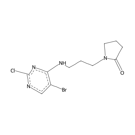 O=C1CCCN1CCCNc1nc(Cl)ncc1Br